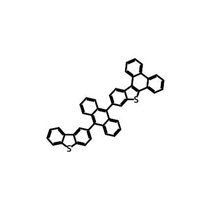 c1ccc2c(c1)sc1ccc(-c3c4ccccc4c(-c4ccc5c(c4)sc4c6ccccc6c6ccccc6c54)c4ccccc34)cc12